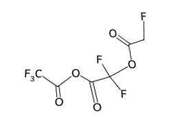 O=C(CF)OC(F)(F)C(=O)OC(=O)C(F)(F)F